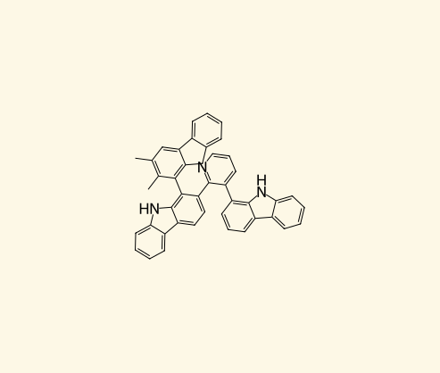 Cc1cc2c(c(-c3c(-c4ncccc4-c4cccc5c4[nH]c4ccccc45)ccc4c3[nH]c3ccccc34)c1C)Cc1ccccc1-2